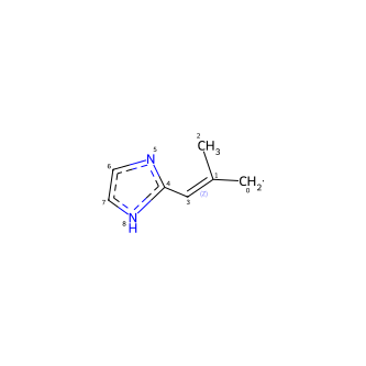 [CH2]/C(C)=C/c1ncc[nH]1